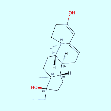 CC[C@@]1(O)CC[C@H]2[C@@H]3CC=C4C=C(O)CC[C@]4(C)[C@H]3CC[C@@]21C